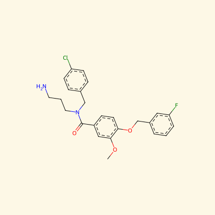 COc1cc(C(=O)N(CCCN)Cc2ccc(Cl)cc2)ccc1OCc1cccc(F)c1